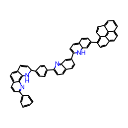 C1=CC2=CC=C(c3ccc4ccc(-c5ccc(C6C=Cc7ccc8ccc(-c9ccccc9)nc8c7N6)cc5)nc4c3)NC2C=C1c1ccc2ccc3cccc4ccc1c2c34